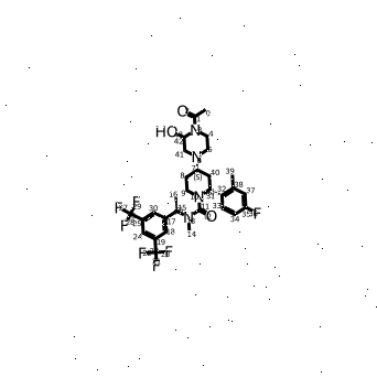 CC(=O)N1CCN([C@H]2CCN(C(=O)N(C)[C@H](C)c3cc(C(F)(F)F)cc(C(F)(F)F)c3)[C@@H](c3ccc(F)cc3C)C2)CC1O